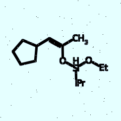 CCO[SiH](OC(C)=CC1CCCC1)C(C)C